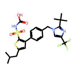 CC(C)Cc1cc(-c2ccc(Cn3cc(C(F)(F)F)nc3C(C)(C)C)cc2)c(S(=O)(=O)NC(=O)O)s1